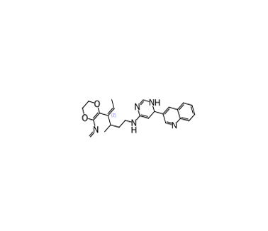 C=NC1=C(/C(=C\C)C(C)CCNC2=CC(c3cnc4ccccc4c3)NC=N2)OCCO1